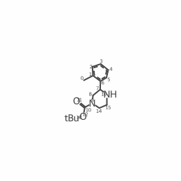 Cc1ccccc1C1CN(C(=O)OC(C)(C)C)CCN1